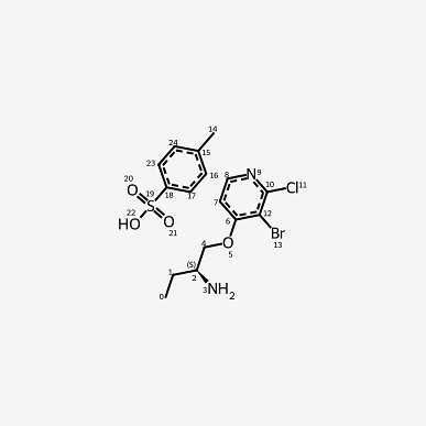 CC[C@H](N)COc1ccnc(Cl)c1Br.Cc1ccc(S(=O)(=O)O)cc1